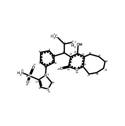 CC(C)C(c1cccc(N2CSC=C2S(N)(=O)=O)c1)c1c(O)c2c(oc1=O)CCCCCC2